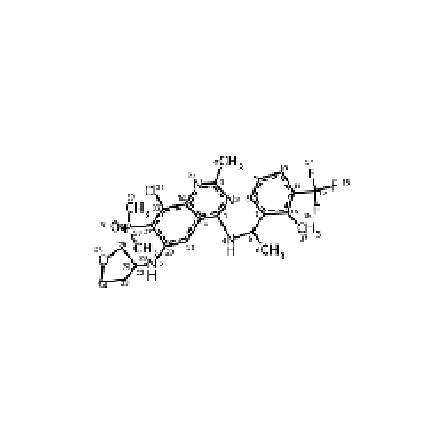 Cc1nc(NC(C)c2cccc(C(F)(F)F)c2C)c2cc(N[C@H]3CCOC3)c(P(C)(C)=O)c(Cl)c2n1